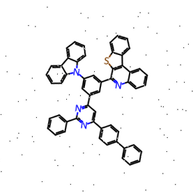 c1ccc(-c2ccc(-c3cc(-c4cc(-c5nc6ccccc6c6c5sc5ccccc56)cc(-n5c6ccccc6c6ccccc65)c4)nc(-c4ccccc4)n3)cc2)cc1